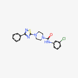 O=C(Nc1cccc(Cl)c1)N1CCN(c2nc(-c3ccccc3)ns2)CC1